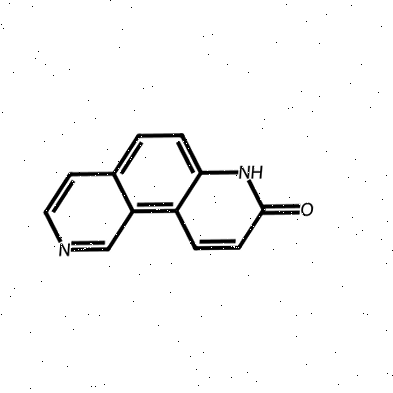 O=c1ccc2c(ccc3ccncc32)[nH]1